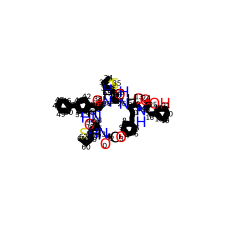 O=C1COc2ccc(cc2)C[C@@H](C(=O)N[C@H](Cc2ccccc2)C(=O)O)NC(=O)[C@H](Cc2cccs2)NC(=O)[C@@H](Cc2ccc(-c3ccccc3)cc2)NC(=O)[C@H](Cc2cccs2)N1